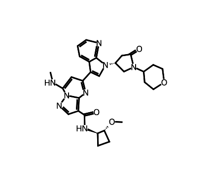 CNc1cc(-c2cn([C@@H]3CC(=O)N(C4CCOCC4)C3)c3ncccc23)nc2c(C(=O)N[C@@H]3CC[C@H]3OC)cnn12